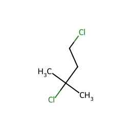 CC(C)(Cl)CCCl